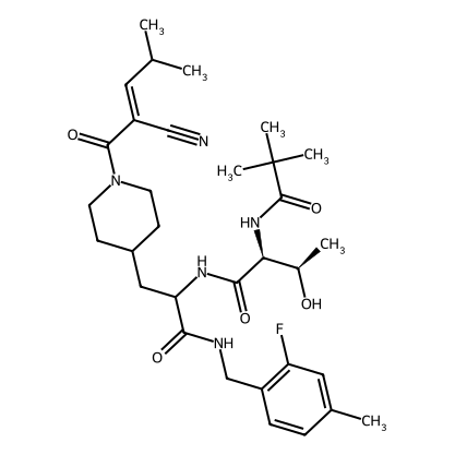 Cc1ccc(CNC(=O)C(CC2CCN(C(=O)C(C#N)=CC(C)C)CC2)NC(=O)[C@@H](NC(=O)C(C)(C)C)[C@@H](C)O)c(F)c1